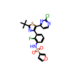 CC(C)(C)c1nc(-c2cccc(NS(=O)(=O)c3ccoc3)c2F)c(-c2ccnc(Cl)n2)s1